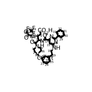 CCOC(=O)N1CCN(C(=O)C(CCC(=O)O)NC(=O)c2cc(NCCc3ccccc3)nc(-c3ccccc3)n2)CC1.O=S(=O)(O)C(F)(F)F